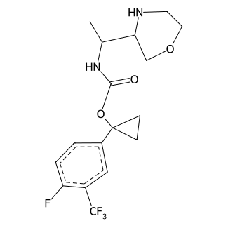 CC(NC(=O)OC1(c2ccc(F)c(C(F)(F)F)c2)CC1)C1COCCN1